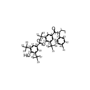 CCN(C(=O)c1cc(C(C)(C)C)c(OC(=O)c2cc(C(C)(C)C)c(O)c(C(C)(C)C)c2)c(C(C)(C)C)c1)c1ccc(C)cc1